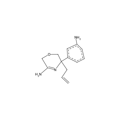 C=CCC1(c2cccc(N)c2)COCC(N)=N1